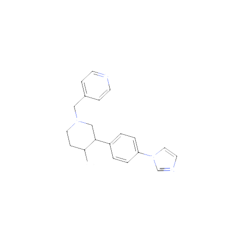 O=CC1CCN(Cc2ccncc2)CC1c1ccc(-n2ccnc2)cc1